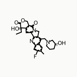 CC[C@@]1(O)C(=O)OCc2c1cc1n(c2=O)Cc2c-1nc1cc(F)c(C)cc1c2CN1CCC[C@@H](O)C1